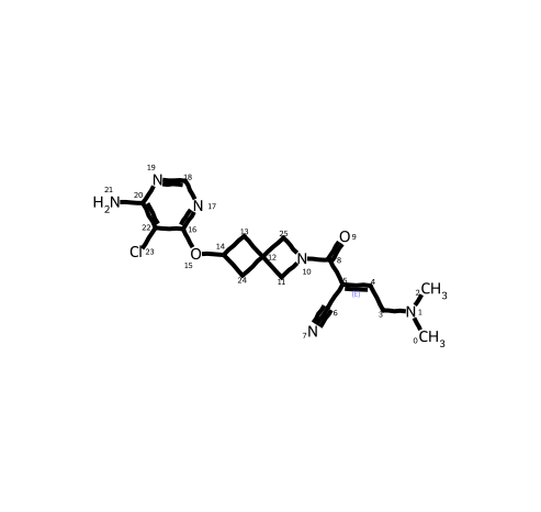 CN(C)C/C=C(\C#N)C(=O)N1CC2(CC(Oc3ncnc(N)c3Cl)C2)C1